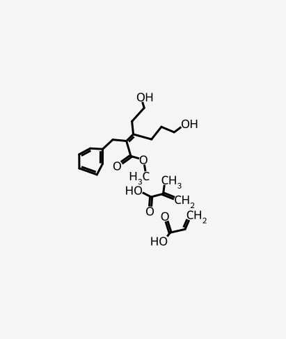 C=C(C)C(=O)O.C=CC(=O)O.COC(=O)C(Cc1ccccc1)=C(CCO)CCCO